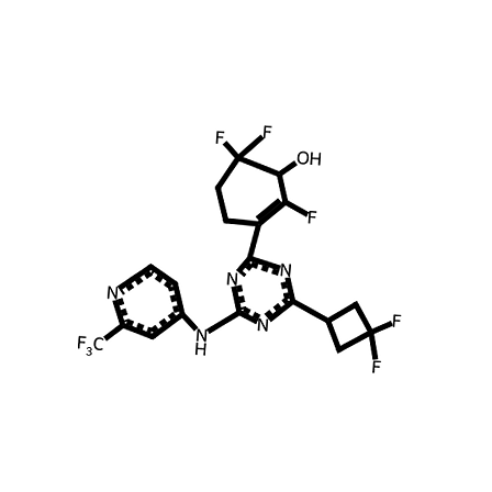 OC1C(F)=C(c2nc(Nc3ccnc(C(F)(F)F)c3)nc(C3CC(F)(F)C3)n2)CCC1(F)F